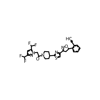 C#Cc1ccccc1C1CC(c2csc(C3CCN(C(=O)Cn4nc(C(F)F)cc4C(F)F)CC3)n2)=NO1